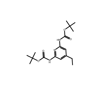 CCc1cc(NC(=O)OC(C)(C)C)nc(NC(=O)OC(C)(C)C)c1